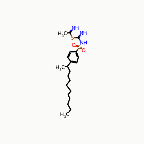 CCCCCCCCCCC(C)c1ccc(S(=O)(=O)NC(=N)SC(C)=N)cc1